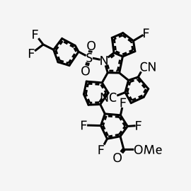 COC(=O)c1c(F)c(F)c(-c2cccc(-c3c(-c4c(C#N)cccc4C#N)c4cc(F)ccc4n3S(=O)(=O)c3ccc(C(F)F)cc3)c2)c(F)c1F